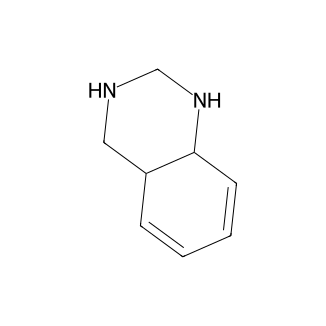 C1=CC2CNCNC2C=C1